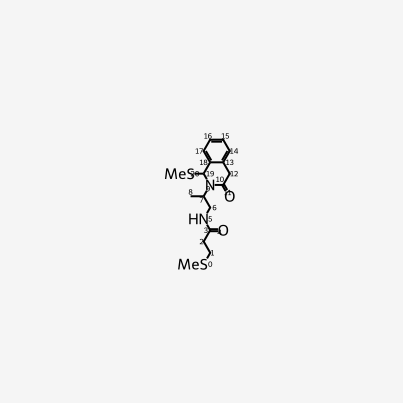 CSCCC(=O)NCC(C)N1C(=O)Cc2ccccc2C1SC